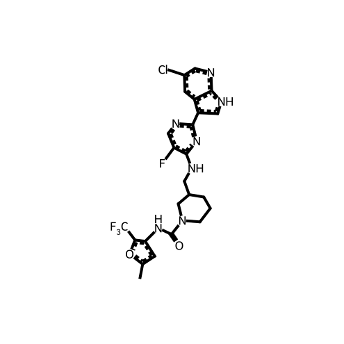 Cc1cc(NC(=O)N2CCCC(CNc3nc(-c4c[nH]c5ncc(Cl)cc45)ncc3F)C2)c(C(F)(F)F)o1